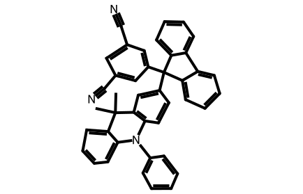 CC1(C)c2ccccc2N(c2ccccc2)c2ccc(C3(c4cc(C#N)cc(C#N)c4)c4ccccc4-c4ccccc43)cc21